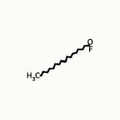 CCCCCCCC/C=C/CCCCCCCC(=O)F